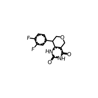 O=c1[nH]c2c(c(=O)[nH]1)COCC2c1ccc(F)c(F)c1